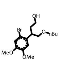 CCCCOCC(CCO)c1cc(OC)c(OC)cc1Br